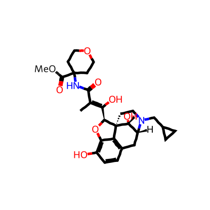 COC(=O)C1(NC(=O)/C(C)=C(\O)[C@@H]2Oc3c(O)ccc4c3[C@@]23CCN(CC2CC2)[C@H](C4)[C@@]3(C)O)CCOCC1